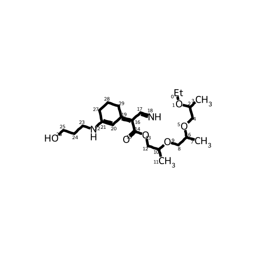 CCOC(C)COC(C)COC(C)COC(=O)/C(C=N)=C1\C=C(NCCCO)CCC1